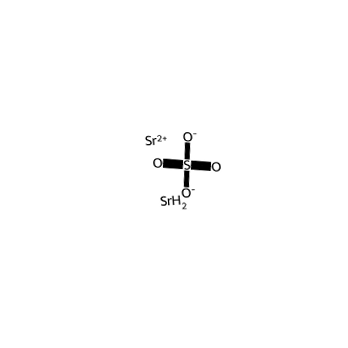 O=S(=O)([O-])[O-].[Sr+2].[SrH2]